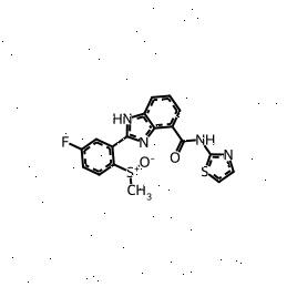 C[S+]([O-])c1ccc(F)cc1-c1nc2c(C(=O)Nc3nccs3)cccc2[nH]1